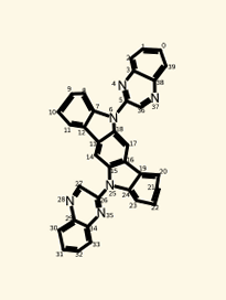 c1ccc2nc(-n3c4ccccc4c4cc5c(cc43)c3ccccc3n5-c3cnc4ccccc4n3)cnc2c1